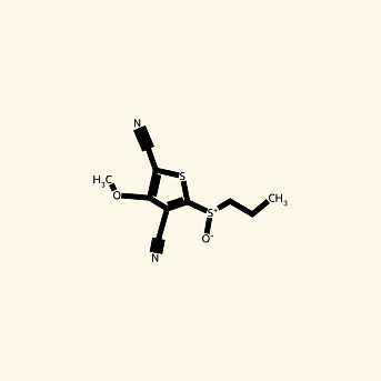 CCC[S+]([O-])c1sc(C#N)c(OC)c1C#N